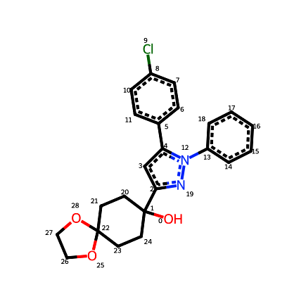 OC1(c2cc(-c3ccc(Cl)cc3)n(-c3ccccc3)n2)CCC2(CC1)OCCO2